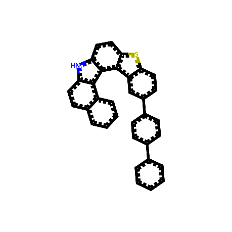 c1ccc(-c2ccc(-c3ccc4sc5ccc6[nH]c7ccc8ccccc8c7c6c5c4c3)cc2)cc1